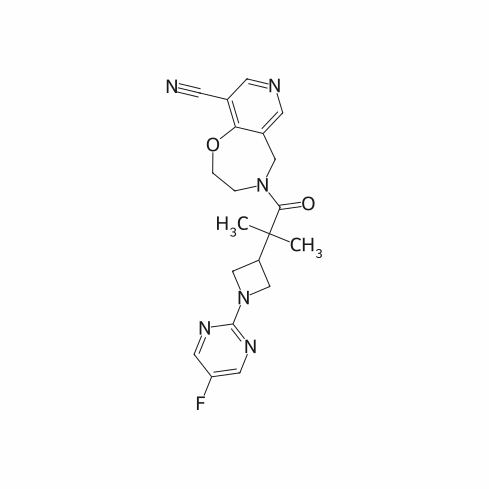 CC(C)(C(=O)N1CCOc2c(C#N)cncc2C1)C1CN(c2ncc(F)cn2)C1